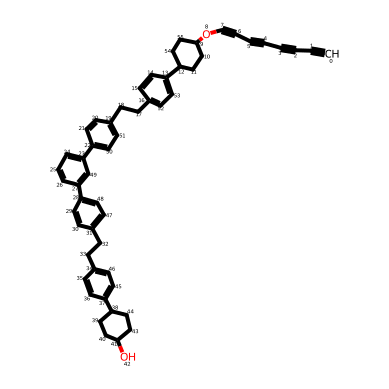 C#CC#CC#CC#COC1CCC(c2ccc(CCc3ccc(-c4cccc(-c5ccc(CCc6ccc(C7CCC(O)CC7)cc6)cc5)c4)cc3)cc2)CC1